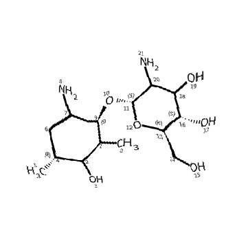 CC1C(O)[C@H](C)CC(N)[C@H]1O[C@H]1O[C@H](CO)[C@@H](O)C(O)C1N